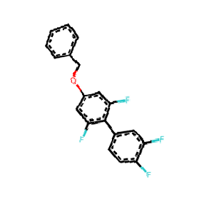 Fc1ccc(-c2c(F)cc(OCc3ccccc3)cc2F)cc1F